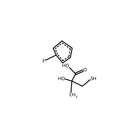 CC(O)(CS)C(=O)O.Fc1ccccc1